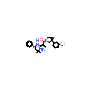 CC1(C)C[C@H](c2ccccc2)Nc2c(C(=O)N3CC4CC4(c4cccc(Cl)c4)C3)cnn21